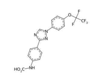 O=C(O)Nc1ccc(-c2ncn(-c3ccc(OC(F)(F)C(F)(F)F)cc3)n2)cc1